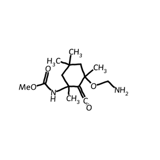 COC(=O)NC1(C)CC(C)(C)CC(C)(OCN)C1=C=O